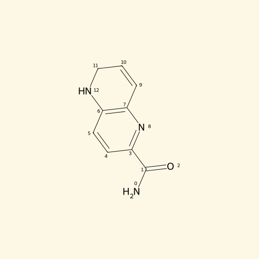 NC(=O)c1ccc2c(n1)C=CCN2